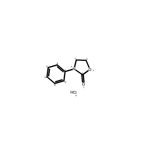 Cl.O=C1OCCN1c1ccccc1